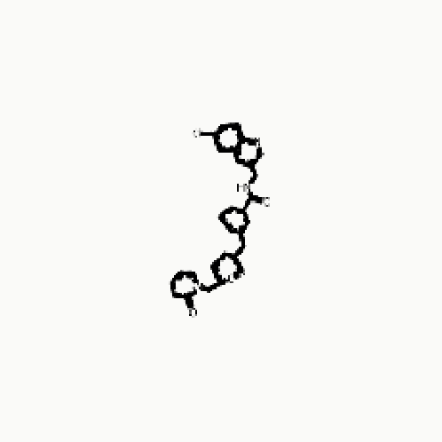 O=C(NCc1cnc2ccc(Cl)cc2c1)c1cccc(Cc2ccc(Cn3ccccc3=O)cc2)c1